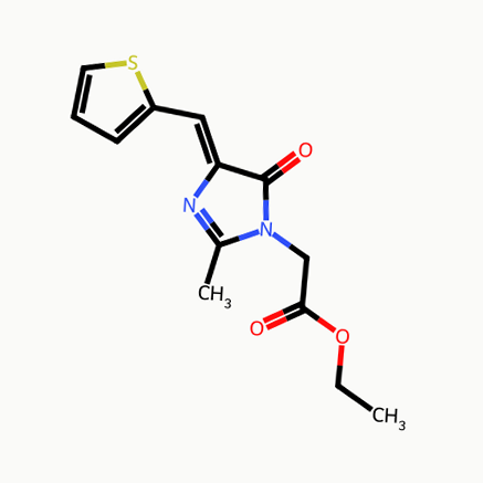 CCOC(=O)CN1C(=O)/C(=C/c2cccs2)N=C1C